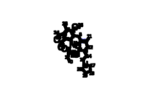 CCNC(=O)Nc1c(C/C=C(\C)CC(CCN2CCCC2)C(=O)O)c(OC)c(C)c2c1C(=O)OC2